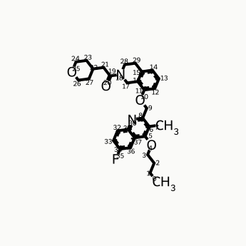 CCCCOc1c(C)c(COc2cccc3c2CN(C(=O)CC2CCOCC2)CC3)nc2ccc(F)cc12